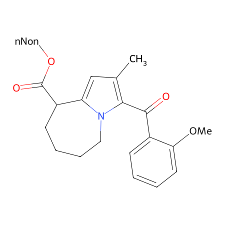 CCCCCCCCCOC(=O)C1CCCCn2c1cc(C)c2C(=O)c1ccccc1OC